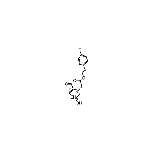 C/C=C(/C=O)[C@@H](CCO)CC(=O)OCCc1ccc(O)cc1